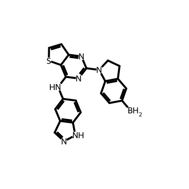 Bc1ccc2c(c1)CCN2c1nc(Nc2ccc3[nH]ncc3c2)c2sccc2n1